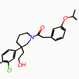 CC(C)Oc1cccc(CC(=O)N2CCCC(CCO)(c3ccc(Cl)c(Cl)c3)C2)c1